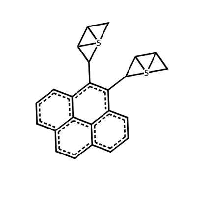 c1cc2ccc3cccc4c(C5C6C7CS756)c(C5C6C7CS756)c(c1)c2c34